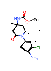 CC1(NC(=O)OC(C)(C)C)CCN(c2ccc(N)c(Cl)c2)C(=O)C1